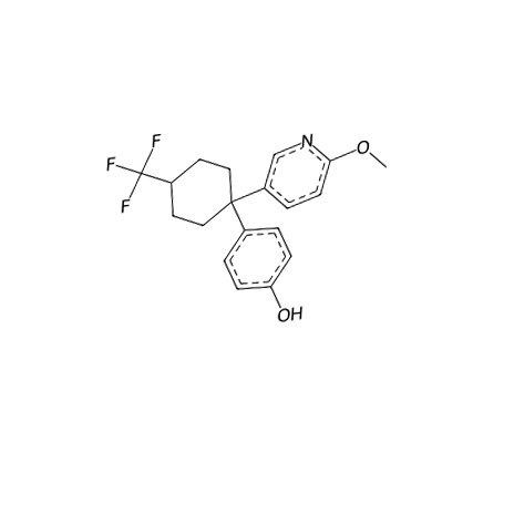 COc1ccc(C2(c3ccc(O)cc3)CCC(C(F)(F)F)CC2)cn1